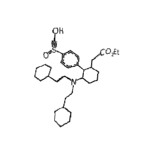 CCOC(=O)CC1CCCC(N(CCC2CCCCC2)CCC2CCCCC2)C1c1ccc(S(=O)#CO)cc1